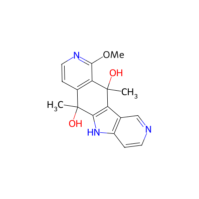 COc1nccc2c1C(C)(O)c1c([nH]c3ccncc13)C2(C)O